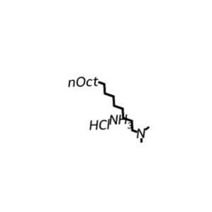 CCCCCCCCCCCCCCCCN(C)C.Cl.N